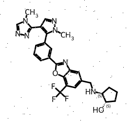 Cn1cnnc1-c1cnn(C)c1-c1cccc(-c2nc3cc(CN[C@H]4CCC[C@@H]4O)cc(C(F)(F)F)c3o2)c1